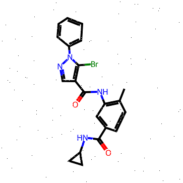 Cc1ccc(C(=O)NC2CC2)cc1NC(=O)c1cnn(-c2ccccc2)c1Br